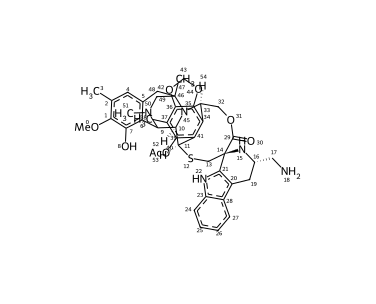 COc1c(C)cc2c(c1O)C1[C@@H]3[C@@H]4SC[C@]5(N[C@H](CN)Cc6c5[nH]c5ccccc65)C(=O)OC[C@@H](c5c6c(c(C)c(OC(C)=O)c54)OCO6)N3C(C)(C2)CN1C